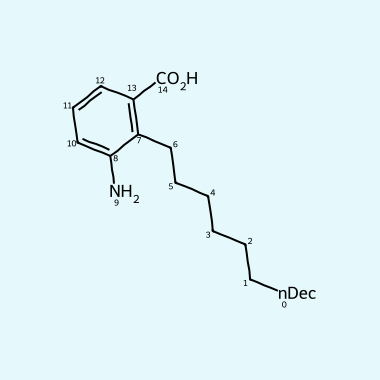 CCCCCCCCCCCCCCCCc1c(N)cccc1C(=O)O